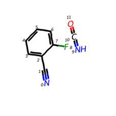 N#Cc1ccccc1F.N=C=O